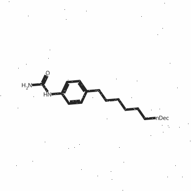 CCCCCCCCCCCCCCCCc1ccc(NC(N)=O)cc1